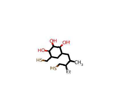 CCC(CS)C(C)CC1CC(CS)C(O)C(O)C1O